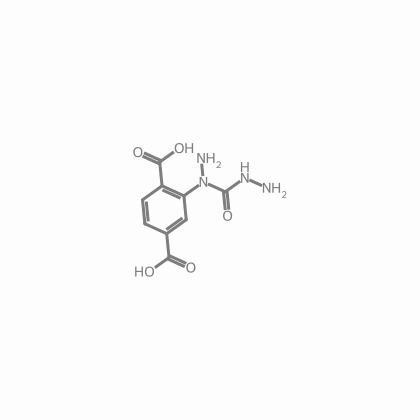 NNC(=O)N(N)c1cc(C(=O)O)ccc1C(=O)O